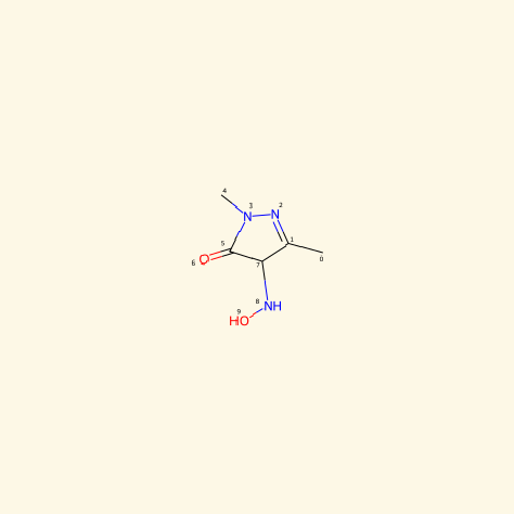 CC1=NN(C)C(=O)C1NO